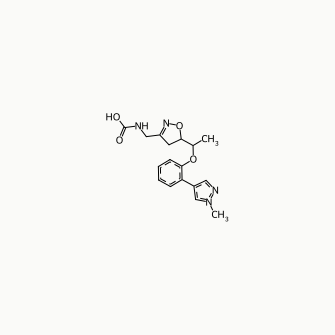 CC(Oc1ccccc1-c1cnn(C)c1)C1CC(CNC(=O)O)=NO1